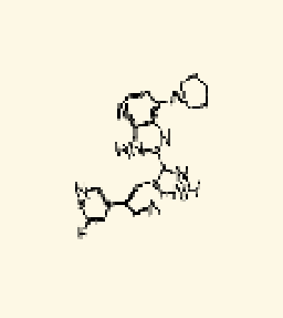 Fc1cncc(-c2cnc3[nH]nc(-c4nc5c(N6CCCCC6)ccnc5[nH]4)c3c2)c1